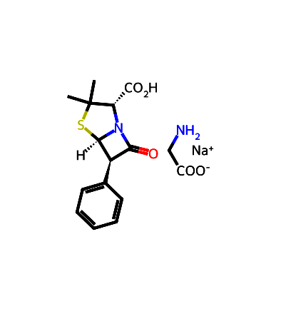 CC1(C)S[C@@H]2[C@H](c3ccccc3)C(=O)N2[C@H]1C(=O)O.NCC(=O)[O-].[Na+]